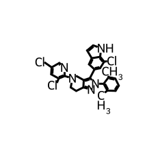 Cc1cccc(C)c1-n1nc2c(c1-c1cc(Cl)c3[nH]ccc3c1)CN(c1ncc(Cl)cc1Cl)CC2